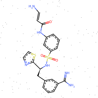 N=C(N)c1cccc(C[C@H](NS(=O)(=O)c2cccc(NC(=O)C=CN)c2)c2nccs2)c1